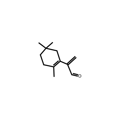 C=C(C=O)C1=C(C)CCC(C)(C)C1